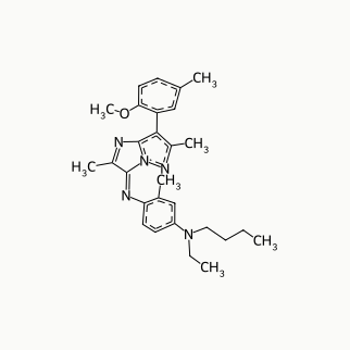 CCCCN(CC)c1ccc(/N=C2/C(C)=Nc3c(-c4cc(C)ccc4OC)c(C)nn32)c(C)c1